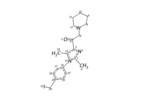 Cc1nc(C(=O)CN2CCCCC2)c(C)n1-c1ccc(CI)cc1